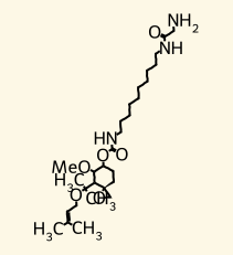 COC1C(OC(=O)NCCCCCCCCCCNC(=O)CN)CC[C@]2(CO2)C1C(C)(C)OCC=C(C)C